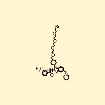 O=C(Nc1nc2cc(CN3CCCCC3)ccc2n1C1CCC(COCCOCCOCCOCCBr)CC1)c1cccc(C(F)(F)F)c1